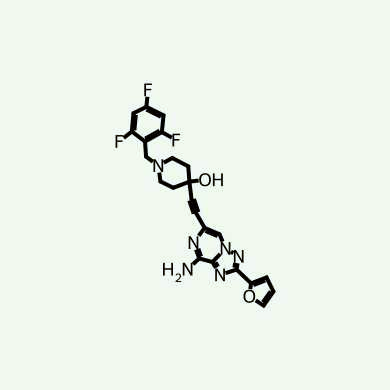 Nc1nc(C#CC2(O)CCN(Cc3c(F)cc(F)cc3F)CC2)cn2nc(-c3ccco3)nc12